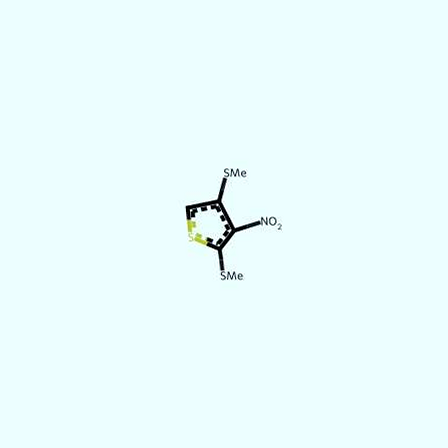 CSc1csc(SC)c1[N+](=O)[O-]